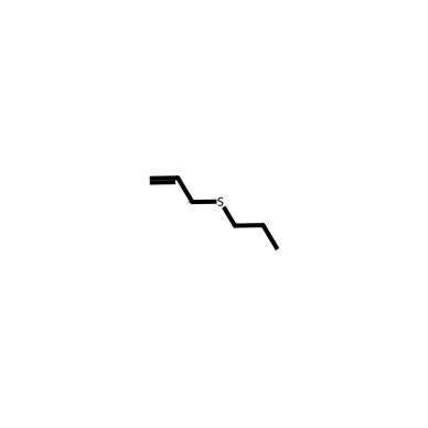 C=C[CH]SCCC